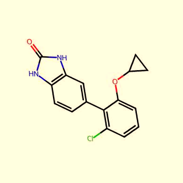 O=c1[nH]c2ccc(-c3c(Cl)cccc3OC3CC3)cc2[nH]1